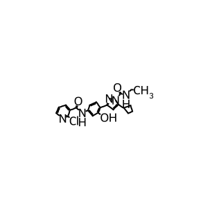 CCNC(=O)n1nc(-c2ccc(NC(=O)c3cccnc3Cl)cc2O)cc1C1CCC1